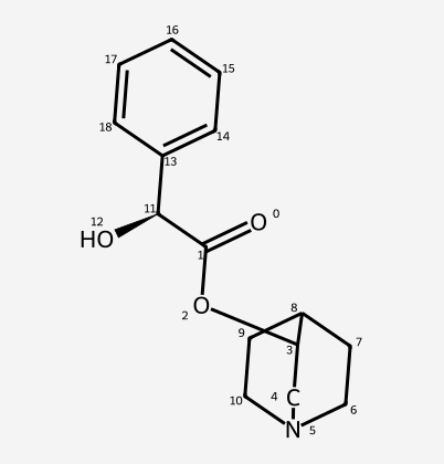 O=C(OC1CN2CCC1CC2)[C@@H](O)c1ccccc1